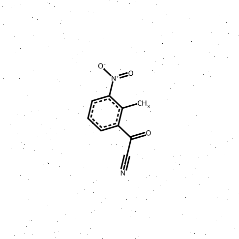 Cc1c(C(=O)C#N)cccc1[N+](=O)[O-]